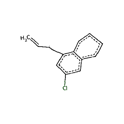 C=C[CH]c1cc(Cl)cc2ccccc12